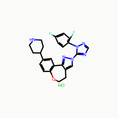 Cl.Fc1ccc(-n2ncnc2-n2cc3c(n2)-c2cc(C4CCNCC4)ccc2OCC3)c(F)c1